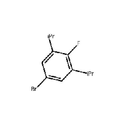 CC(C)c1cc(Br)cc(C(C)C)c1F